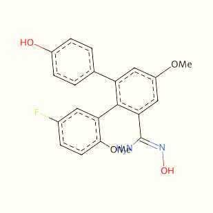 COc1cc(/C(N)=N/O)c(-c2cc(F)ccc2OC)c(-c2ccc(O)cc2)c1